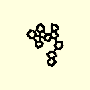 c1cc(-c2cnc3ccccc3n2)cc(-c2nc3ccccc3c3c4c(ccc23)C2(c3ccccc3-c3ccccc32)c2ccccc2-4)c1